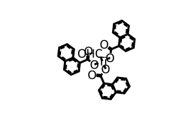 O=[CH][Ti]([O]C(=O)c1cccc2ccccc12)([O]C(=O)c1cccc2ccccc12)[O]C(=O)c1cccc2ccccc12